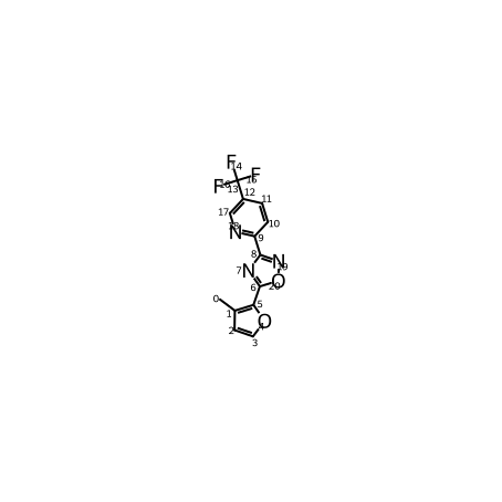 Cc1ccoc1-c1nc(-c2ccc(C(F)(F)F)cn2)no1